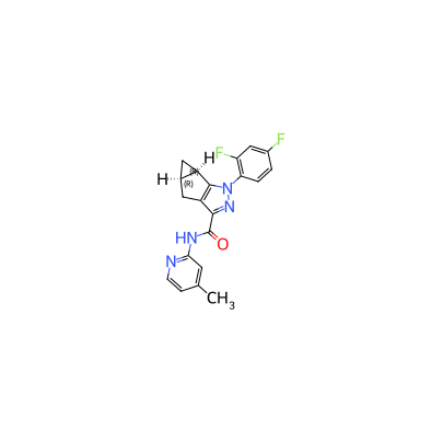 Cc1ccnc(NC(=O)c2nn(-c3ccc(F)cc3F)c3c2C[C@H]2C[C@@H]32)c1